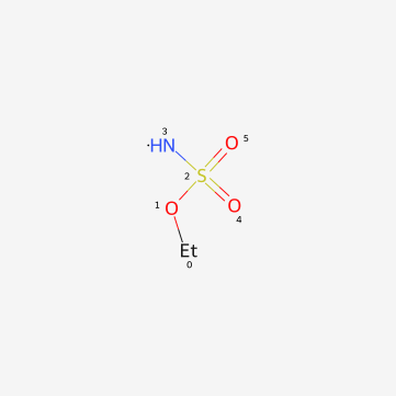 CCOS([NH])(=O)=O